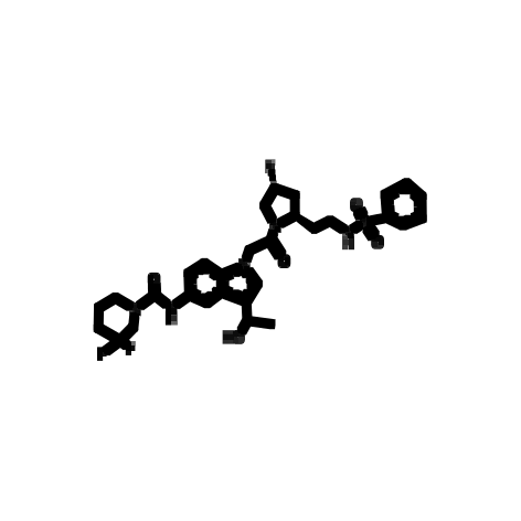 CC(O)c1cn(CC(=O)N2C[C@H](F)C[C@H]2CCNS(=O)(=O)c2ccccc2)c2ccc(NC(=O)N3CCCC(F)(F)C3)cc12